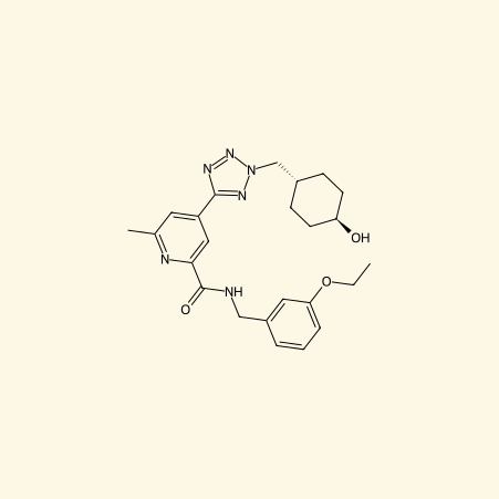 CCOc1cccc(CNC(=O)c2cc(-c3nnn(C[C@H]4CC[C@H](O)CC4)n3)cc(C)n2)c1